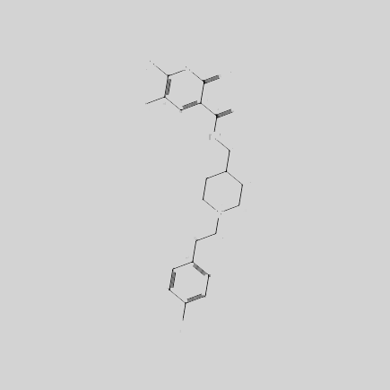 Nc1[nH]c(=O)c(C(=O)NCC2CCN(CCc3ccc(F)cc3)CC2)cc1Cl